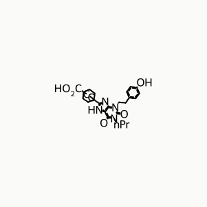 CCCn1c(=O)c2[nH]c(C34CCC(C(=O)O)(CC3)CC4)nc2n(CCc2ccc(O)cc2)c1=O